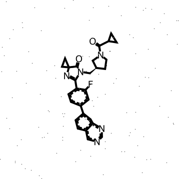 O=C(C1CC1)N1CC[C@@H](CN2C(=O)C3(CC3)N=C2c2ccc(-c3ccc4cncnc4c3)cc2F)C1